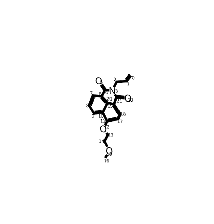 C=CCN1C(=O)c2cccc3c(OCCOC)ccc(c23)C1=O